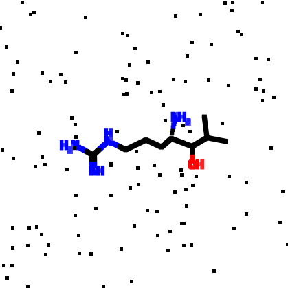 CC(C)C(O)[C@@H](N)CCCNC(=N)N